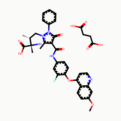 COc1ccc2c(Oc3ccc(NC(=O)c4c(C)n(C[C@@H](C)[C@](C)(N)C(=O)O)n(-c5ccccc5)c4=O)cc3F)ccnc2c1.O=C(O)CCC(=O)O